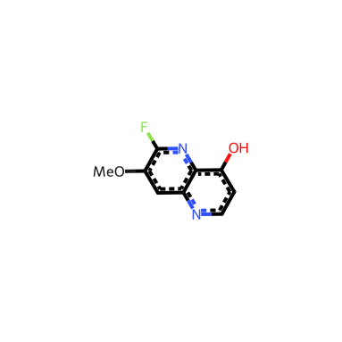 COc1cc2nccc(O)c2nc1F